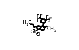 CCCCC1=Cc2c(ccc(CC)c2-c2cc(C(F)(F)F)cc(C(F)(F)F)c2)[CH]1[Zr]([Cl])[Cl]